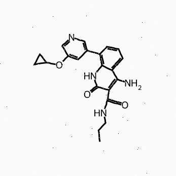 CCCNC(=O)c1c(N)c2cccc(-c3cncc(OC4CC4)c3)c2[nH]c1=O